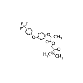 CC(Oc1ccc(Oc2ccc(C(F)(F)F)cc2)cc1)C(=O)OCC(=O)N(C)C